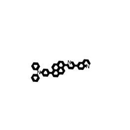 c1ccc(N(c2ccccc2)c2ccc(-c3ccc4ccc5c(-c6ccc(-c7ccc8ncccc8c7)cn6)ccc6ccc3c4c65)cc2)cc1